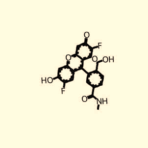 CNC(=O)c1ccc(C(=O)O)c(-c2c3cc(F)c(=O)cc-3oc3cc(O)c(F)cc23)c1